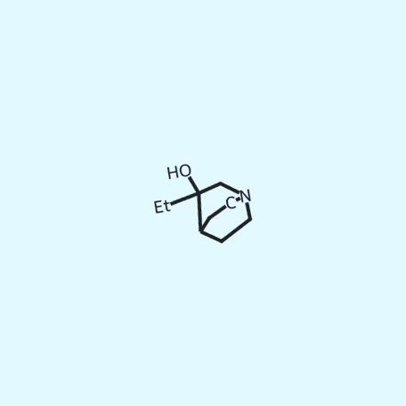 CCC1(O)CN2CCC1CC2